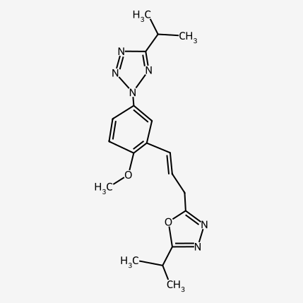 COc1ccc(-n2nnc(C(C)C)n2)cc1/C=C/Cc1nnc(C(C)C)o1